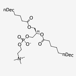 CCCCCCCCCCCCCCC(=O)O[C@H](COC(=O)CCCCCCCCCCCCC)COP(=O)([O-])OCC[N+](C)(C)C